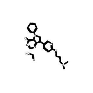 CN(C)CCCOc1ccc(-c2cn(-c3ccccc3)c3c(Cl)ncnc23)cn1.O=CO